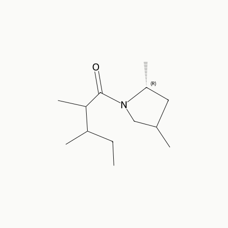 CCC(C)C(C)C(=O)N1CC(C)C[C@H]1C